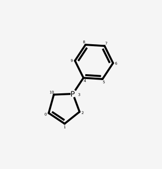 C1=CCP(c2ccccc2)C1